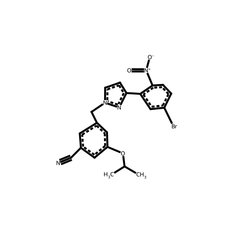 CC(C)Oc1cc(C#N)cc(Cn2ccc(-c3cc(Br)ccc3[N+](=O)[O-])n2)c1